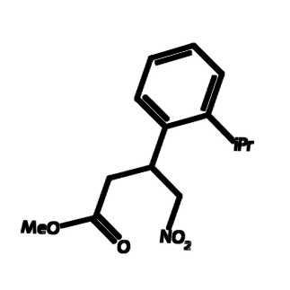 COC(=O)CC(C[N+](=O)[O-])c1ccccc1C(C)C